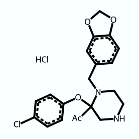 CC(=O)C1(Oc2ccc(Cl)cc2)CNCCN1Cc1ccc2c(c1)OCO2.Cl